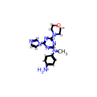 CN(c1ccc(N)cc1)c1nc(N2CCOCC2)nc(-n2ccnc2)n1